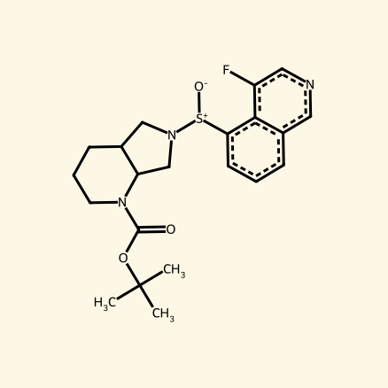 CC(C)(C)OC(=O)N1CCCC2CN([S+]([O-])c3cccc4cncc(F)c34)CC21